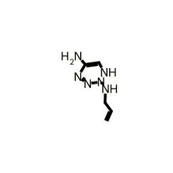 C=CCNN1N=NC(N)=CN1